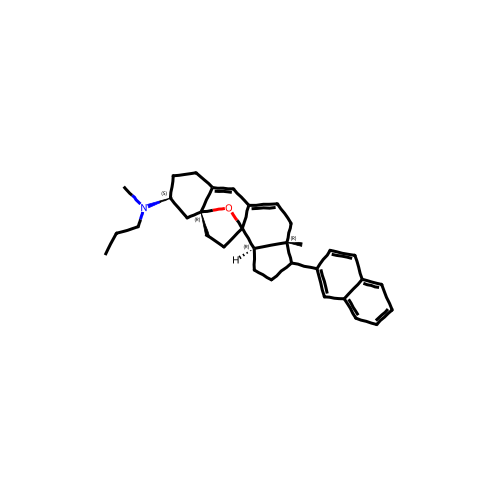 CCCN(C)[C@H]1CCC2=CC3=CC[C@]4(C)C(c5ccc6ccccc6c5)CC[C@H]4C34CC[C@]2(C1)O4